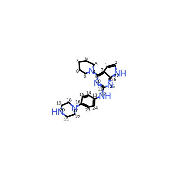 c1cc2c(N3CCCCC3)nc(Nc3ccc(N4CCNCC4)cc3)nc2[nH]1